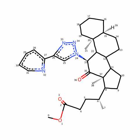 COC(=O)CC[C@@H](C)C1CCC2C3[CH]C[C@@H]4C[CH]CC[C@]4(C)C3[C@H](n3cc(-c4ccccn4)nn3)C(=O)[C@@]21C